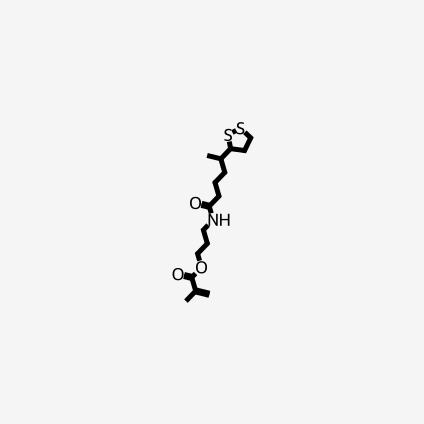 C=C(C)C(=O)OCCCNC(=O)CCCC(C)C1CCSS1